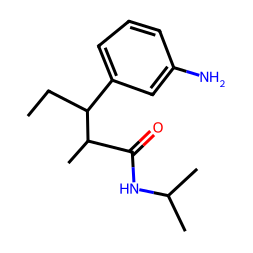 CCC(c1cccc(N)c1)C(C)C(=O)NC(C)C